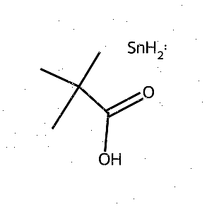 CC(C)(C)C(=O)O.[SnH2]